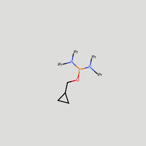 CC(C)N(C(C)C)P(OCC1CC1)N(C(C)C)C(C)C